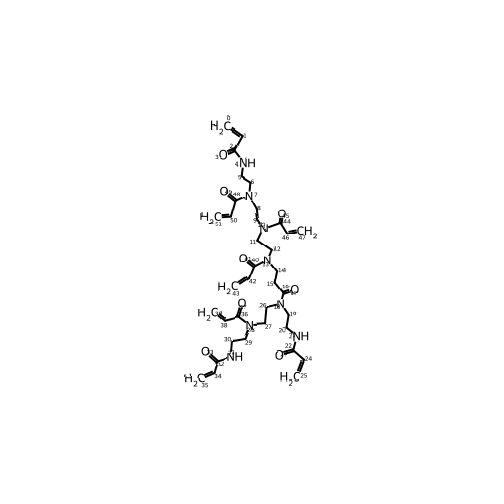 C=CC(=O)NCCN(CCN(CCN(CCC(=O)N(CCNC(=O)C=C)CCN(CCNC(=O)C=C)C(=O)C=C)C(=O)C=C)C(=O)C=C)C(=O)C=C